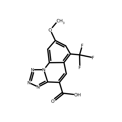 COc1cc(C(F)(F)F)c2cc(C(=O)O)c3nnnn3c2c1